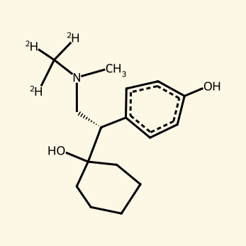 [2H]C([2H])([2H])N(C)C[C@H](c1ccc(O)cc1)C1(O)CCCCC1